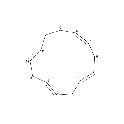 [CH]1/C=C/C/C=C/C/C=C\CC/C=C/1